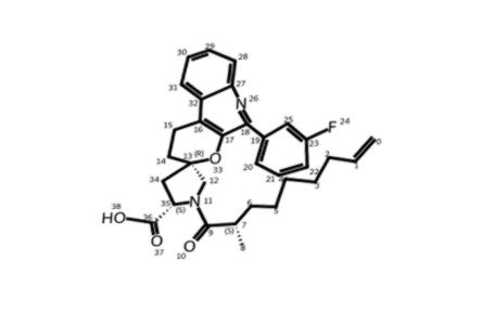 C=CCCCCC[C@H](C)C(=O)N1C[C@@]2(CCc3c(c(-c4cccc(F)c4)nc4ccccc34)O2)C[C@H]1C(=O)O